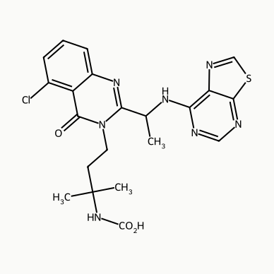 CC(Nc1ncnc2scnc12)c1nc2cccc(Cl)c2c(=O)n1CCC(C)(C)NC(=O)O